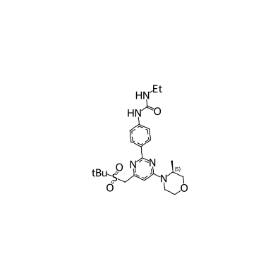 CCNC(=O)Nc1ccc(-c2nc(CS(=O)(=O)C(C)(C)C)cc(N3CCOC[C@@H]3C)n2)cc1